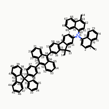 Cc1ccc(N(c2ccc3c(c2)C(C)(C)c2cc(-c4c5ccccc5c(-c5ccc(C6(c7ccccc7)c7ccccc7-c7ccccc76)cc5)c5ccccc45)ccc2-3)c2ccc(C)c3ccccc23)c2ccccc12